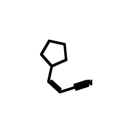 N#C/C=C\C1CCCC1